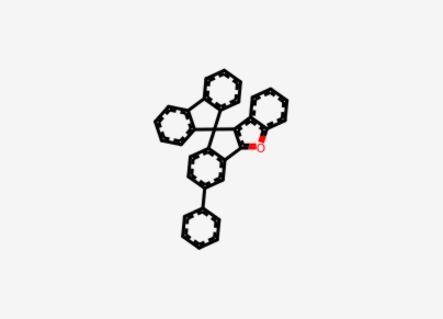 c1ccc(-c2ccc3c(c2)-c2oc4ccccc4c2C32c3ccccc3-c3ccccc32)cc1